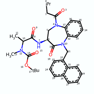 CC(C)CC(=O)N1C[C@H](NC(=O)C(C)N(C)C(=O)OC(C)(C)C)C(=O)N(Cc2cccc3ccccc23)c2ccccc21